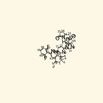 CC[C@@H]1CC(C)(C)[C@@](C)(c2cccc(-n3cnc(CS(=O)(=O)CC4CCC(=O)N4)n3)n2)c2nnc(-c3c(F)cccc3F)cc21